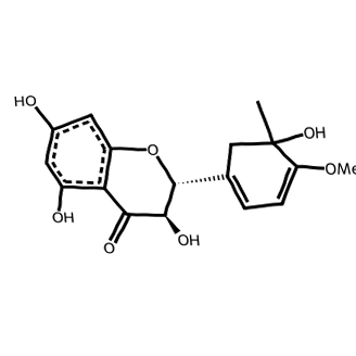 COC1=CC=C([C@H]2Oc3cc(O)cc(O)c3C(=O)[C@@H]2O)CC1(C)O